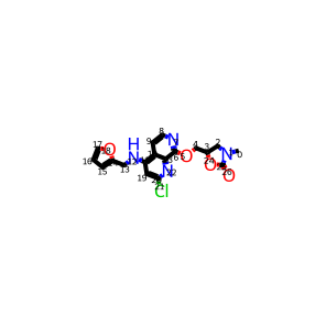 CN1CC(COc2nccc3c(NCc4ccco4)cc(Cl)nc23)OC1=O